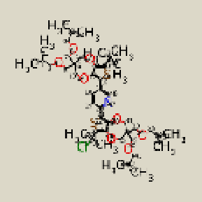 CC(C)COCC1(COCC(C)C)COc2c(-c3ccc(-c4sc(C(C)(C)Cl)c5c4OCC(COCC(C)C)(COCC(C)C)CO5)nc3)sc(C(C)(C)C)c2OC1